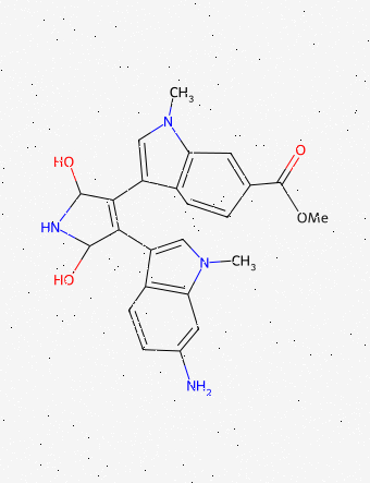 COC(=O)c1ccc2c(C3=C(c4cn(C)c5cc(N)ccc45)C(O)NC3O)cn(C)c2c1